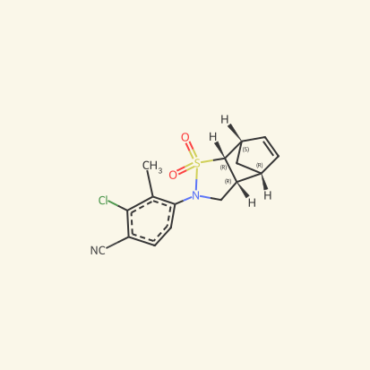 Cc1c(N2C[C@@H]3[C@@H]([C@@H]4C=C[C@H]3C4)S2(=O)=O)ccc(C#N)c1Cl